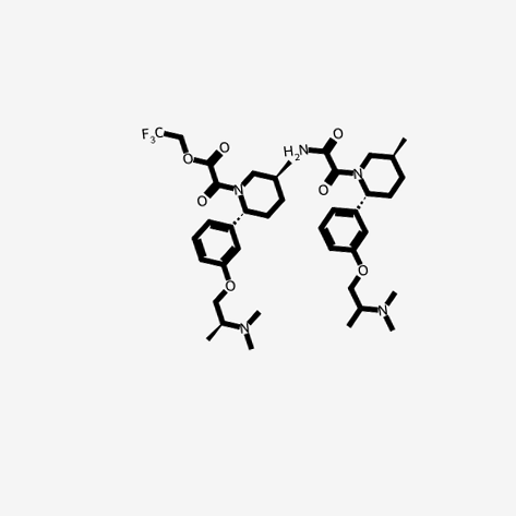 CC(COc1cccc([C@H]2CC[C@H](C)CN2C(=O)C(N)=O)c1)N(C)C.C[C@H]1CC[C@H](c2cccc(OC[C@H](C)N(C)C)c2)N(C(=O)C(=O)OCC(F)(F)F)C1